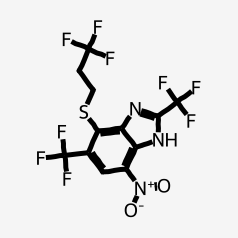 O=[N+]([O-])c1cc(C(F)(F)F)c(SCCC(F)(F)F)c2nc(C(F)(F)F)[nH]c12